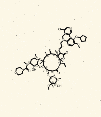 CC[C@H]1OC(=O)[C@H](C)[C@@H](O[C@H]2C[C@@](C)(OC)[C@@H](O)[C@H](C)O2)[C@H](C)[C@@H](O[C@@H]2O[C@H](C)C[C@H](N(C)C(=O)N3CCOCC3)[C@H]2O)[C@](C)(OC)C[C@@H](C)C(=O)[C@H](C)[C@H]2C(SCCN(Cc3c(Cl)cncc3Cl)c3ccc(OC)c(OC4CCCC4)c3)C(=O)O[C@@]21C